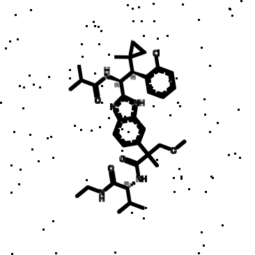 CCNC(=O)[C@H](NC(=O)C(C)(COC)c1ccc2nc([C@@H](NC(=O)C(C)C)[C@H](c3ccccc3Cl)C3(C)CC3)[nH]c2c1)C(C)C